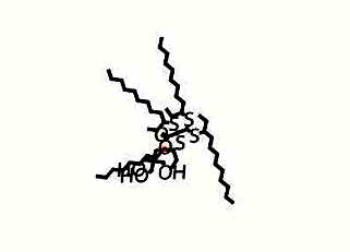 CCCCCCCCCC(CC)SC(SC(CC)CCCCCCCCC)C(SC(CC)CCCCCCCCC)(SC(CC)CCCCCCCCC)C(=O)OCC(CO)(CO)CO